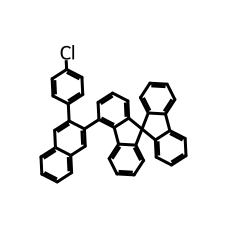 Clc1ccc(-c2cc3ccccc3cc2-c2cccc3c2-c2ccccc2C32c3ccccc3-c3ccccc32)cc1